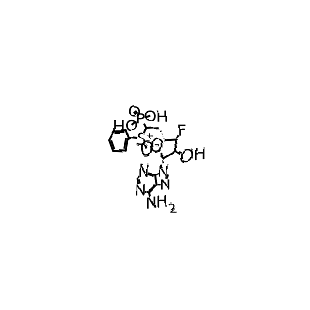 Nc1ncnc2c1ncn2[C@@H]1O[C@H](CC([S+]([O-])c2ccccc2)P(=O)(O)O)[C@@H](F)[C@H]1O